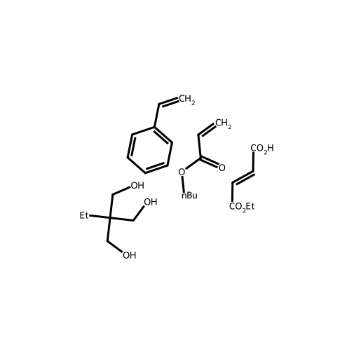 C=CC(=O)OCCCC.C=Cc1ccccc1.CCC(CO)(CO)CO.CCOC(=O)C=CC(=O)O